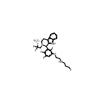 C[C@@H]1Cc2c([nH]c3ccccc23)C(c2c(F)c(F)cc(OCCNCCCF)c2F)N1CC(F)(F)F